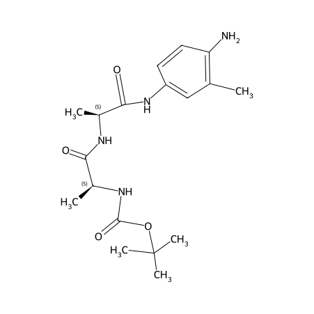 Cc1cc(NC(=O)[C@H](C)NC(=O)[C@H](C)NC(=O)OC(C)(C)C)ccc1N